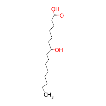 CCCCCCCCC(O)CCCCCC(=O)O